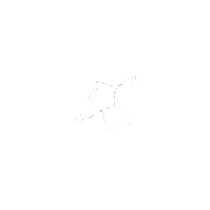 CN1C=NC(C)(C)C1O